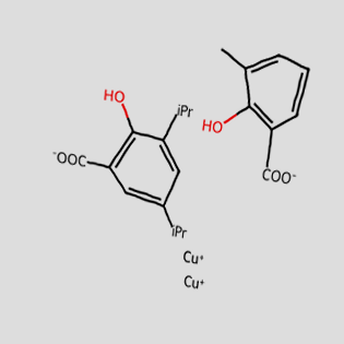 CC(C)c1cc(C(=O)[O-])c(O)c(C(C)C)c1.Cc1cccc(C(=O)[O-])c1O.[Cu+].[Cu+]